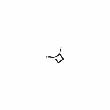 CC[C@H]1CCN1C(C)C